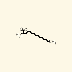 C=C1CC(CCCCCCCCCCC)OC1=O